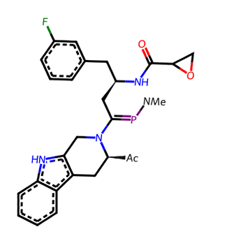 CNP=C(C[C@@H](Cc1cccc(F)c1)NC(=O)C1CO1)N1Cc2[nH]c3ccccc3c2C[C@@H]1C(C)=O